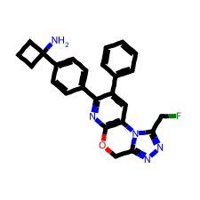 NC1(c2ccc(-c3nc4c(cc3-c3ccccc3)-n3c(CF)nnc3CO4)cc2)CCC1